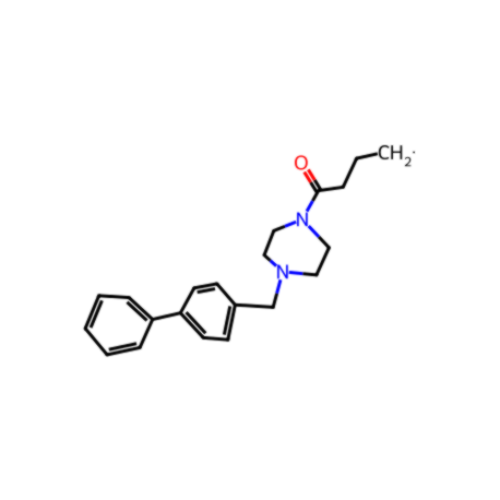 [CH2]CCC(=O)N1CCN(Cc2ccc(-c3ccccc3)cc2)CC1